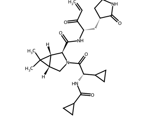 C=CC(=O)[C@H](C[C@@H]1CCNC1=O)NC(=O)[C@@H]1[C@@H]2[C@H](CN1C(=O)[C@@H](NC(=O)C1CC1)C1CC1)C2(C)C